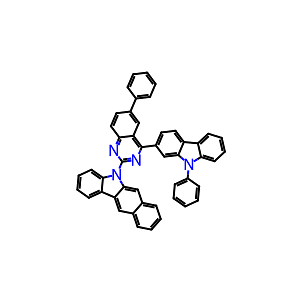 c1ccc(-c2ccc3nc(-n4c5ccccc5c5cc6ccccc6cc54)nc(-c4ccc5c6ccccc6n(-c6ccccc6)c5c4)c3c2)cc1